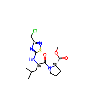 COC(=O)[C@@H]1CCCN1C(=O)[C@H](CC(C)C)Nc1nc(CCl)ns1